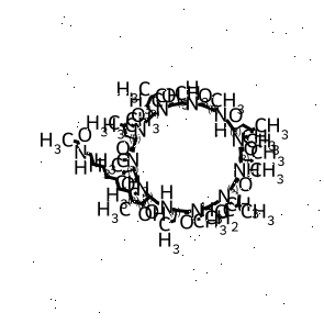 C=C1C(=O)N(C)[C@@H](CC(C)C)C(=O)N[C@H](C(C)C)C(=O)N(C)[C@H](CC(C)C)C(=O)N[C@H](C)C(=O)N[C@@H](C)C(=O)N(C)[C@H](CC(C)C)C(=O)N(C)[C@H](CC(C)C)C(=O)N(C)[C@H](C(C)C)C(=O)N(C)[C@@H]([C@H](O)[C@H](C)CCCCCCCNC(C)=O)C(=O)N[C@H](CC)C(=O)N1C